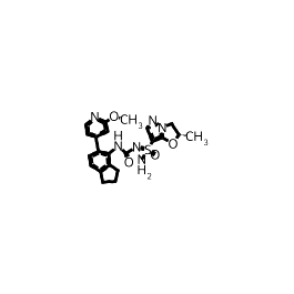 COc1cc(-c2ccc3c(c2NC(=O)N=S(N)(=O)c2cnn4c2O[C@@H](C)C4)CCC3)ccn1